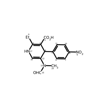 CCC1=C(C(=O)O)C(c2ccc([N+](=O)[O-])cc2)C(N(C)C=O)=CN1